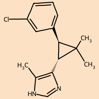 Cc1[nH]cnc1[C@@H]1[C@@H](c2cccc(Cl)c2)C1(C)C